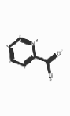 [Li][C](=O)c1ccccn1